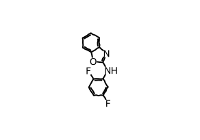 Fc1ccc(F)c(Nc2nc3ccccc3o2)c1